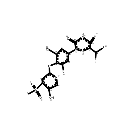 CS(=O)(=O)c1cc(Oc2c(Cl)cc(-n3nc(C(F)F)c(=O)[nH]c3=O)cc2Cl)ncc1O